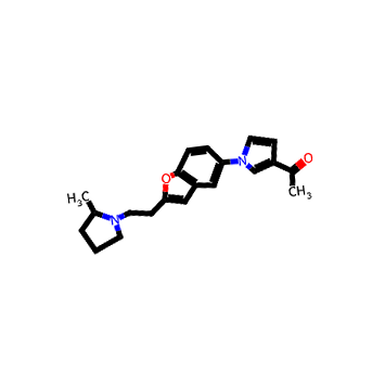 CC(=O)c1ccn(-c2ccc3oc(CCN4CCCC4C)cc3c2)c1